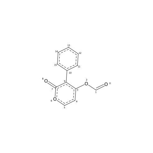 O=COc1ccoc(=O)c1-c1ccccc1